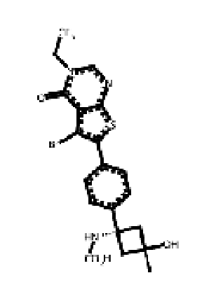 C[C@]1(O)C[C@](NC(=O)O)(c2ccc(-c3sc4ncn(CC(F)(F)F)c(=O)c4c3Br)cc2)C1